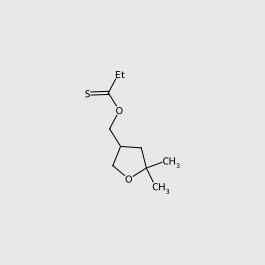 CCC(=S)OCC1COC(C)(C)C1